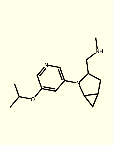 CNCC1CC2CC2N1c1cncc(OC(C)C)c1